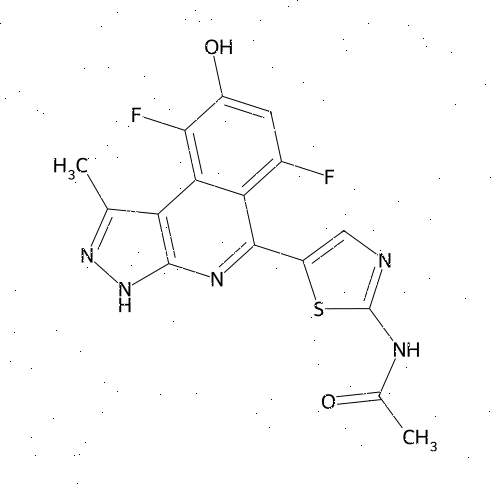 CC(=O)Nc1ncc(-c2nc3[nH]nc(C)c3c3c(F)c(O)cc(F)c23)s1